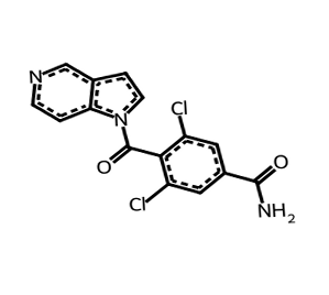 NC(=O)c1cc(Cl)c(C(=O)n2ccc3cnccc32)c(Cl)c1